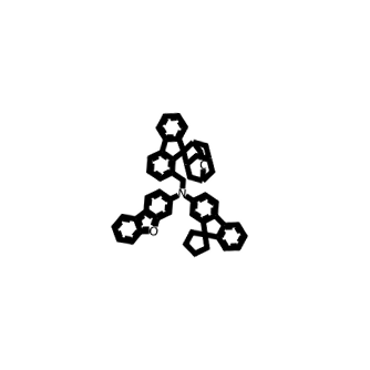 c1ccc2c(c1)-c1ccc(N(Cc3cccc4c3C3(c5ccccc5-4)C4CCC5CC(C4)CC3C5)c3ccc4c(c3)oc3ccccc34)cc1C21CCCC1